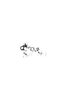 COC(=O)C1(CN2CCC(COc3noc4cccc(OCC(C)C)c34)CC2)CCC1